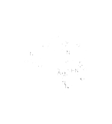 C=NC(=O)C(C)(C)OC/C=C/[C@H](OC)[C@@H]1CC[C@H]1CN1C[C@@]2(CCCc3cc(Cl)ccc32)COc2ccc([S+]([O-])NC(=O)c3cn(C)nc3C)cc21